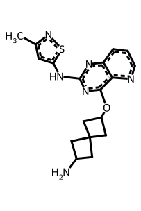 Cc1cc(Nc2nc(OC3CC4(CC(N)C4)C3)c3ncccc3n2)sn1